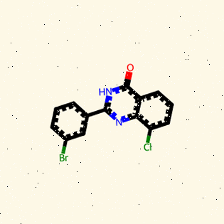 O=c1[nH]c(-c2cccc(Br)c2)nc2c(Cl)cccc12